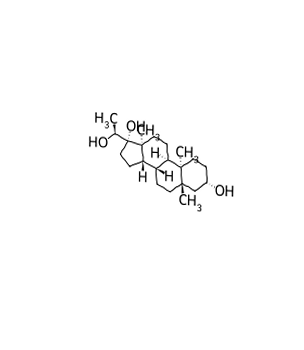 C[C@H](O)[C@]1(O)CC[C@H]2[C@H]3CC[C@@]4(C)C[C@@H](O)CC[C@]4(C)[C@@H]3CC[C@@]21C